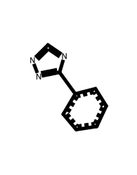 C1=NN=C(c2ccccc2)N=1